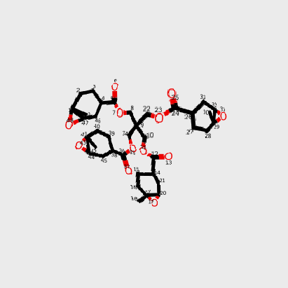 CC12CCC(C(=O)OCC(COC(=O)C3CCC4(C)OC4C3)(COC(=O)C3CCC4(C)OC4C3)COC(=O)C3CCC4(C)OC4C3)CC1O2